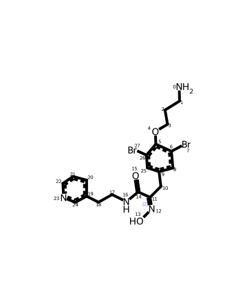 NCCCOc1c(Br)cc(C/C(=N/O)C(=O)NCCc2cccnc2)cc1Br